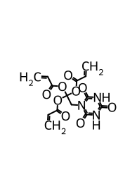 C=CC(=O)OC(Cn1c(=O)[nH]c(=O)[nH]c1=O)(OC(=O)C=C)OC(=O)C=C